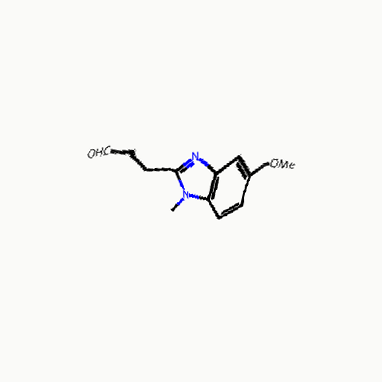 COc1ccc2c(c1)nc(CCC=O)n2C